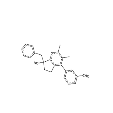 Cc1nc2c(c(-c3cccc(C=O)c3)c1C)CCC2(C#N)Cc1ccccc1